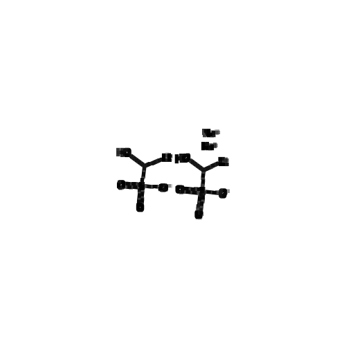 CCC(O)S(=O)(=O)[O-].CCC(O)S(=O)(=O)[O-].[Na+].[Na+]